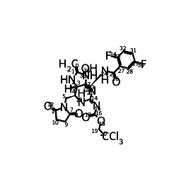 C=C1N[C@H]2[C@H](CN3C(=O)CCC3=O)N/C(=N\C(=O)OCC(Cl)(Cl)Cl)N3C[C@H](NC(=O)c4cc(F)ccc4F)[C@H](O)[C@]23N1